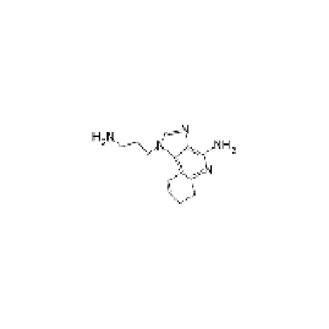 NCCCn1cnc2c(N)nc3c(c21)C=CCC3